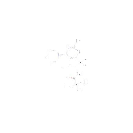 C[C@@H]1COCCN1c1cc(C2([S@@+]([O-])NC(=O)C(C)(C)C)CC2)nc(I)n1